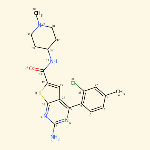 Cc1ccc(-c2nc(N)nc3sc(C(=O)NC4CCN(C)CC4)cc23)c(Cl)c1